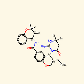 CCC1(CC)CC(=O)N([C@H]2c3cc(C(=O)N[C@@H]4c5ccccc5OC(C)(C)[C@H]4C)ccc3OC[C@H]2COC)C(=N)N1